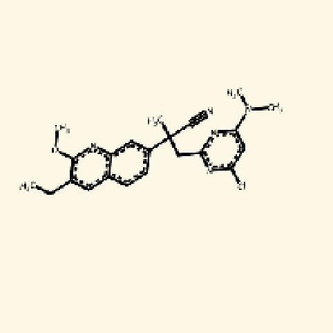 CCc1cc2ccc(C(C)(C#N)Cc3nc(Cl)cc(N(C)C)n3)cc2nc1OC